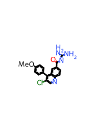 COc1ccc(-c2c(Cl)cnc3ccc(C(=O)N=C(N)N)cc23)cc1